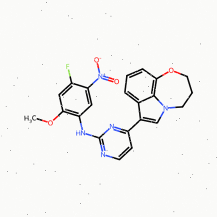 COc1cc(F)c([N+](=O)[O-])cc1Nc1nccc(-c2cn3c4c(cccc24)OCCC3)n1